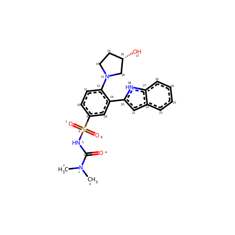 CN(C)C(=O)NS(=O)(=O)c1ccc(N2CC[C@H](O)C2)c(-c2cc3ccccc3[nH]2)c1